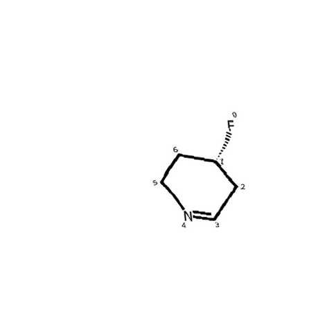 F[C@@H]1CC=NCC1